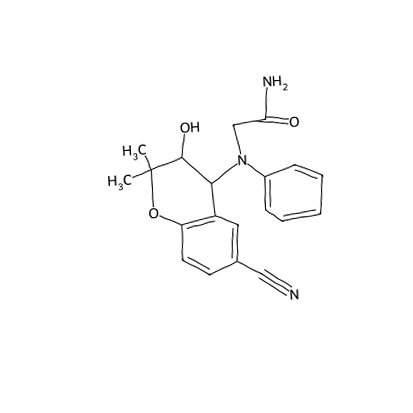 CC1(C)Oc2ccc(C#N)cc2C(N(CC(N)=O)c2ccccc2)C1O